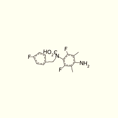 Cc1c(N)c(C)c(F)c(N(Cc2ccc(F)cc2)C(=O)O)c1F